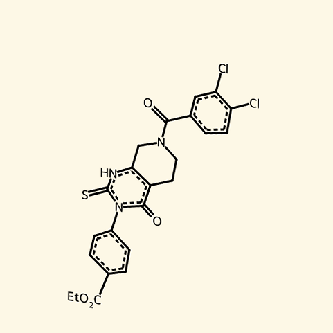 CCOC(=O)c1ccc(-n2c(=S)[nH]c3c(c2=O)CCN(C(=O)c2ccc(Cl)c(Cl)c2)C3)cc1